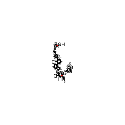 CNCc1cc(Cl)c(O[C@H]2CCc3c(-c4cccc(-c5ccc(OCCN6CC[C@@H](O)C6)cc5)c4Cl)cccc32)nc1OCc1cncc(S(C)(=O)=O)c1